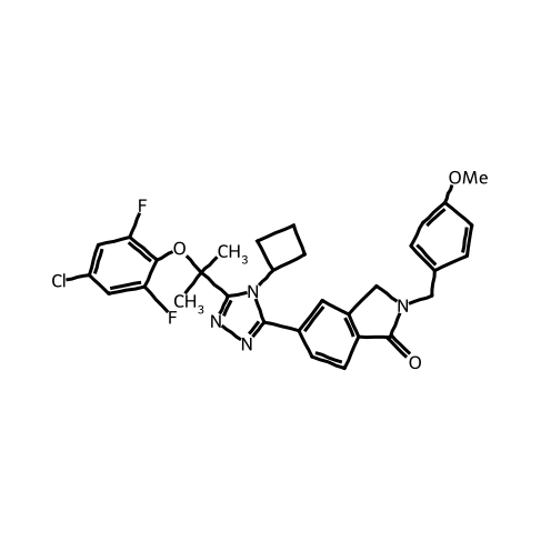 COc1ccc(CN2Cc3cc(-c4nnc(C(C)(C)Oc5c(F)cc(Cl)cc5F)n4C4CCC4)ccc3C2=O)cc1